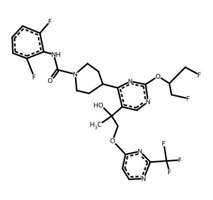 CC(O)(COc1ccnc(C(F)(F)F)n1)c1cnc(OC(CF)CF)nc1C1CCN(C(=O)Nc2c(F)cccc2F)CC1